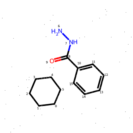 C1CCCCC1.NNC(=O)c1ccccc1